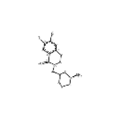 N[C@H]1CCC[C@@H](CN2CCc3cc(Br)c(F)cc3C2=O)C1